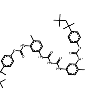 Cc1ccc(NC(=O)NC(=O)Nc2ccc(C)c(NC(=O)Oc3ccc(C(C)(C)CC(C)(C)C)cc3)c2)cc1NC(=O)Oc1ccc(C(C)(C)CC(C)(C)C)cc1